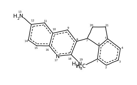 Cc1cccc2c1C(c1cc3cc(N)ccc3nc1N)CC2